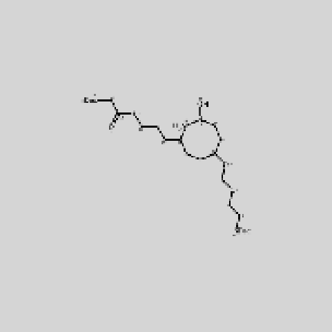 CCCCCCCCCCCCOCOC1CCC(CCCSC(=O)CCCCCCCCCCC)[SiH2]N(O)CC1